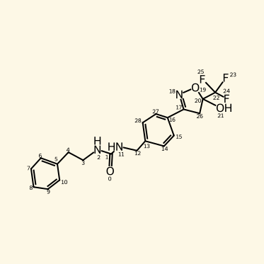 O=C(NCCc1ccccc1)NCc1ccc(C2=NOC(O)(C(F)(F)F)C2)cc1